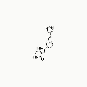 O=C1NCCc2[nH]c(-c3ccnc(C=Cc4cncnc4)c3)cc21